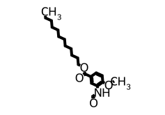 CCCCCCCCCCCCOC(=O)c1ccc(OC)c(NC=O)c1